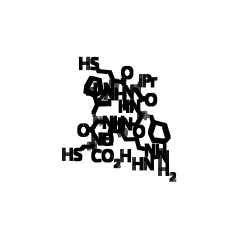 CC(C)[C@@H](NC(=O)[C@@H](N)CCS)C(=O)N[C@H](Cc1ccccc1)C(=O)N[C@@H](CCCNC(=N)N)C(=O)N[C@@H](Cc1c[nH]c2ccccc12)C(=O)N[C@@H](CS)C(=O)O